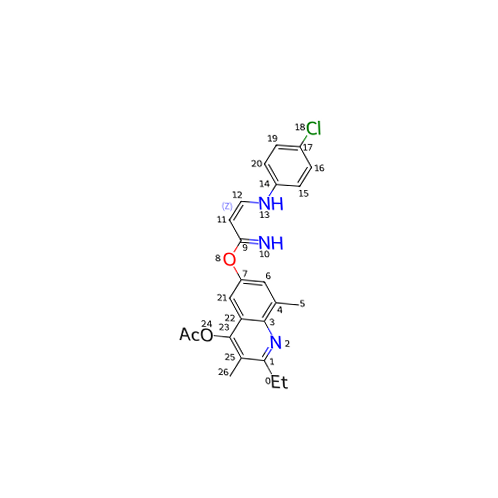 CCc1nc2c(C)cc(OC(=N)/C=C\Nc3ccc(Cl)cc3)cc2c(OC(C)=O)c1C